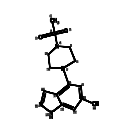 CS(=O)(=O)N1CCN(c2cc(C#N)cc3[nH]ncc23)CC1